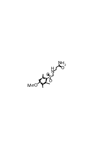 COc1cc(C)c(S(=O)(=O)CNCCC(N)=O)c(C)c1C